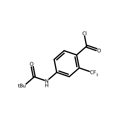 CC(C)(C)C(=O)Nc1ccc(C(=O)Cl)c(C(F)(F)F)c1